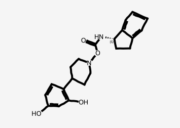 O=C(N[C@H]1CCc2ccccc21)ON1CCC(c2ccc(O)cc2O)CC1